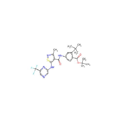 Cc1nsc(Nc2cncc(C(F)(F)F)n2)c1C(=O)Nc1ccc(C(=O)OC(C)(C)C)c(C(C)(C)C)c1